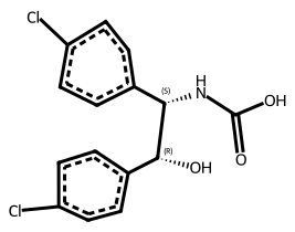 O=C(O)N[C@@H](c1ccc(Cl)cc1)[C@H](O)c1ccc(Cl)cc1